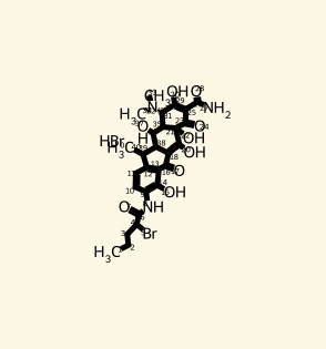 Br.CCCC(Br)C(=O)Nc1ccc2c(c1O)C(=O)C1=C(O)C3(O)C(=O)C(C(N)=O)=C(O)[C@@H](N(C)C)C3C(O)C1C2C